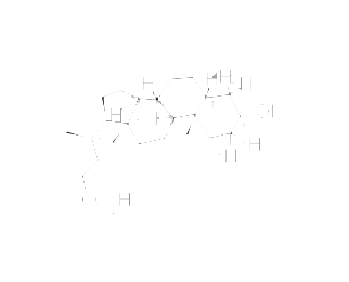 [2H]C1([2H])C[C@@]2(C)[C@H](CC[C@@H]3[C@@H]2CC[C@]2(C)[C@@H]([C@H](C)CCC(=O)O)CC[C@@H]32)C([2H])([2H])[C@@H]1O